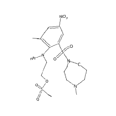 CCCN(CCOS(C)(=O)=O)c1c(C)cc([N+](=O)[O-])cc1S(=O)(=O)N1CCCN(C)CC1